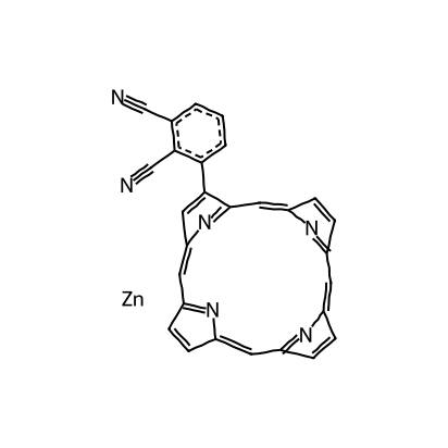 N#Cc1cccc(C2=CC3=CC4=NC(=CC5=NC(=CC6=NC(=CC2=N3)C=C6)C=C5)C=C4)c1C#N.[Zn]